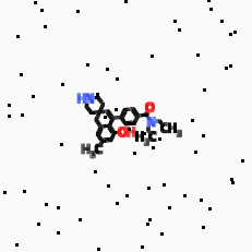 CCN(CC)C(=O)c1ccc(C2=CC3(CCNCC3)Cc3cc(C)cc(O)c32)cc1